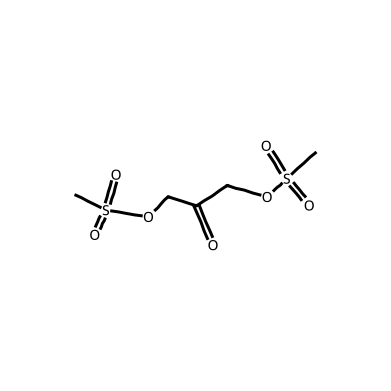 CS(=O)(=O)OCC(=O)COS(C)(=O)=O